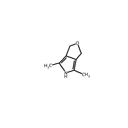 Cc1[nH]c(C)c2c1COC2